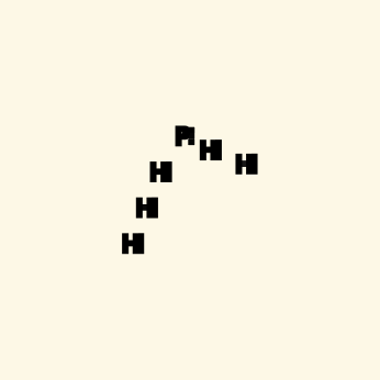 I.I.I.I.I.[P]